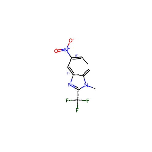 C=c1/c(=C\C(=C/C)[N+](=O)[O-])nc(C(F)(F)F)n1C